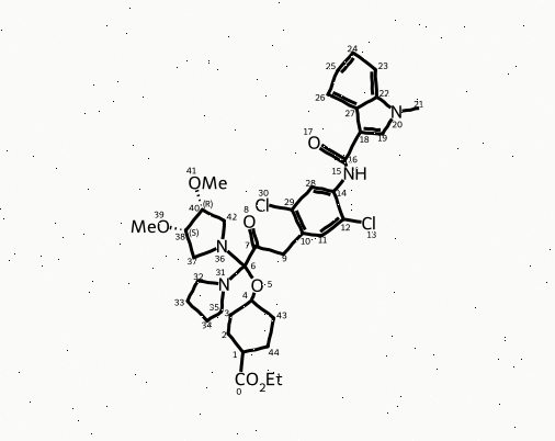 CCOC(=O)C1CCC(OC(C(=O)Cc2cc(Cl)c(NC(=O)c3cn(C)c4ccccc34)cc2Cl)(N2CCCC2)N2C[C@H](OC)[C@H](OC)C2)CC1